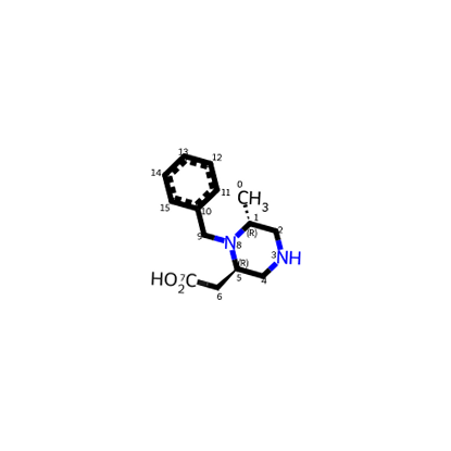 C[C@@H]1CNC[C@@H](CC(=O)O)N1Cc1ccccc1